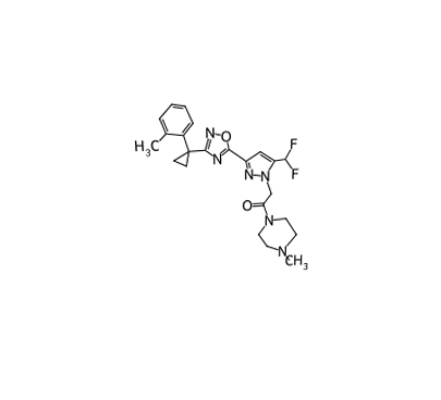 Cc1ccccc1C1(c2noc(-c3cc(C(F)F)n(CC(=O)N4CCN(C)CC4)n3)n2)CC1